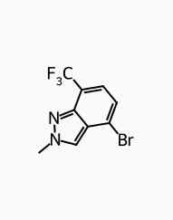 Cn1cc2c(Br)ccc(C(F)(F)F)c2n1